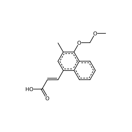 COCOc1c(C)cc(C=CC(=O)O)c2ccccc12